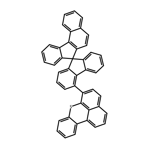 c1ccc2c(c1)Sc1c(-c3cccc4c3-c3ccccc3C43c4ccccc4-c4c3ccc3ccccc43)ccc3cccc-2c13